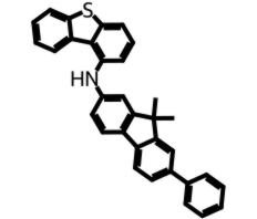 CC1(C)c2cc(Nc3cccc4sc5ccccc5c34)ccc2-c2ccc(-c3ccccc3)cc21